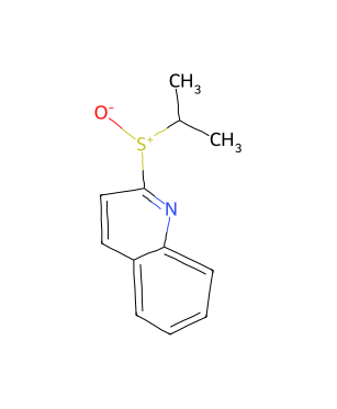 CC(C)[S+]([O-])c1ccc2ccccc2n1